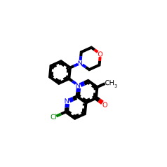 Cc1cn(-c2ccccc2N2CCOCC2)c2nc(Cl)ccc2c1=O